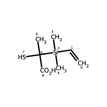 C=C[Si](C)(C)C(C)(S)C(=O)O